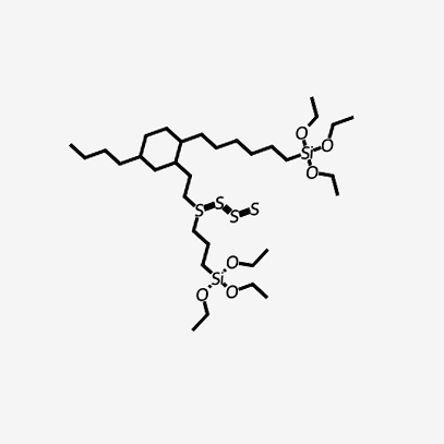 CCCCC1CCC(CCCCCC[Si](OCC)(OCC)OCC)C(CCS(CCC[Si](OCC)(OCC)OCC)=S=S=S)C1